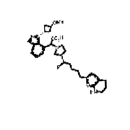 CO[C@H]1C[C@H](n2ncc3cccc(C(C(=O)O)N4CC[C@@H](C(F)CCCCc5ccc6c(n5)NCCC6)C4)c32)C1